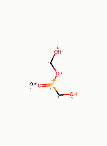 O=[PH](CO)OCO.[Zn]